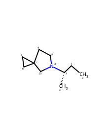 CC[C@H](C)N1CCC2(CC2)C1